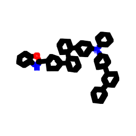 c1ccc(-c2cccc(-c3ccc(N(c4ccccc4)c4ccc(-c5ccccc5-c5ccccc5-c5ccc(-c6nc7ccccc7o6)cc5)cc4)cc3)c2)cc1